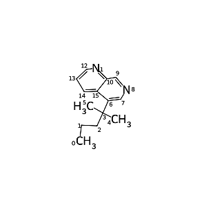 CCCC(C)(C)c1cncc2ncccc12